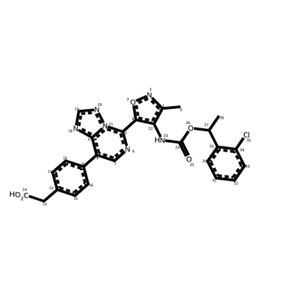 Cc1noc(-c2ncc(-c3ccc(CC(=O)O)cc3)c3ncnn23)c1NC(=O)OC(C)c1ccccc1Cl